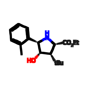 CCOC(=O)[C@H]1N[C@@H](c2ccccc2C)[C@@H](O)[C@H]1C(C)(C)C